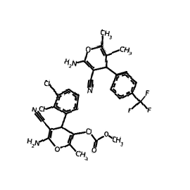 CC1=C(C)C(c2ccc(C(F)(F)F)cc2)C(C#N)=C(N)O1.COC(=O)OC1=C(C)OC(N)=C(C#N)C1c1cccc(Cl)c1Cl